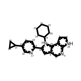 c1cc2c(ncc3cc(-c4ccc(C5CC5)cn4)n(C4CCCCC4)c32)[nH]1